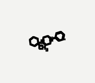 CC1(N2CCN(c3c[c]ccc3)CC2)CCCCC1